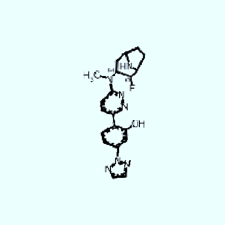 CN(c1ccc(-c2ccc(-n3nccn3)cc2O)nn1)[C@H]1CC2CCC(N2)[C@H]1F